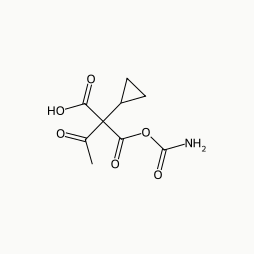 CC(=O)C(C(=O)O)(C(=O)OC(N)=O)C1CC1